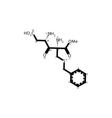 COC(=O)[C@@](N)(CSCc1ccccc1)C(=O)[C@@H](N)CC(=O)O